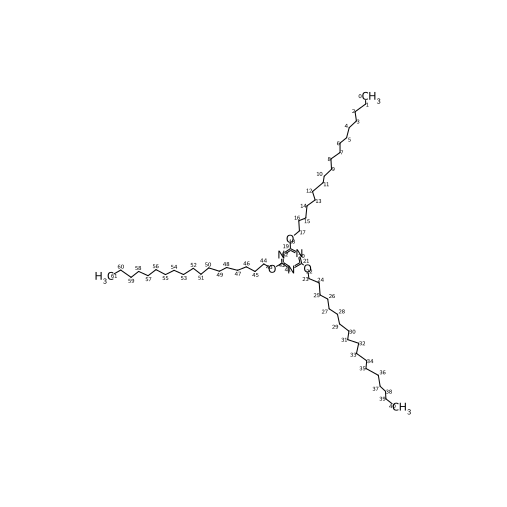 CCCCCCCCCCCCCCCCCCOc1nc(OCCCCCCCCCCCCCCCCCC)nc(OCCCCCCCCCCCCCCCCCC)n1